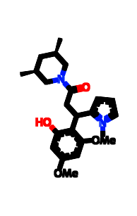 COc1cc(O)c(C(CC(=O)N2C[C@H](C)C[C@H](C)C2)c2cccn2C)c(OC)c1